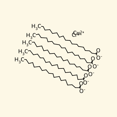 CCCCCCCCCCCCCCCCCC(=O)[O-].CCCCCCCCCCCCCCCCCC(=O)[O-].CCCCCCCCCCCCCCCCCC(=O)[O-].CCCCCCCCCCCCCCCCCC(=O)[O-].CCCCCCCCCCCCCCCCCC(=O)[O-].[Cr+3].[Cu+2]